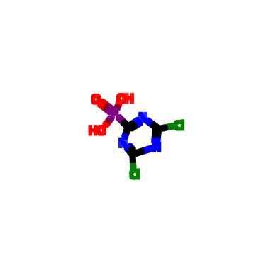 O=P(O)(O)c1nc(Cl)nc(Cl)n1